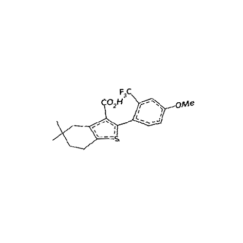 COc1ccc(-c2sc3c(c2C(=O)O)CC(C)(C)CC3)c(C(F)(F)F)c1